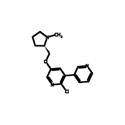 CN1CCC[C@H]1COc1cnc(Cl)c(-c2cccnc2)c1